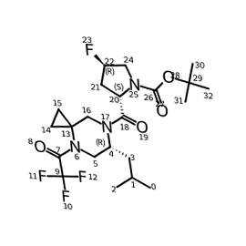 CC(C)C[C@@H]1CN(C(=O)C(F)(F)F)C2(CC2)CN1C(=O)[C@@H]1C[C@@H](F)CN1C(=O)OC(C)(C)C